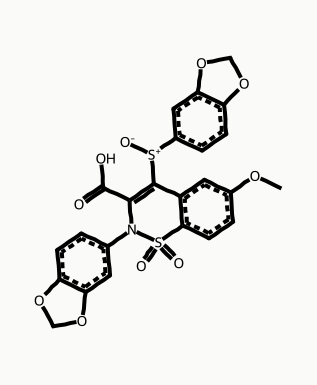 COc1ccc2c(c1)C([S+]([O-])c1ccc3c(c1)OCO3)=C(C(=O)O)N(c1ccc3c(c1)OCO3)S2(=O)=O